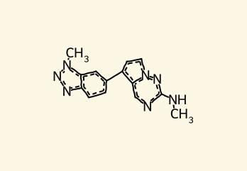 CNc1ncc2c(-c3ccc4nnn(C)c4c3)ccn2n1